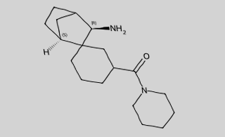 N[C@@H]1C2CC[C@@H](C2)C12CCCC(C(=O)N1CCCCC1)C2